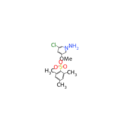 COc1cc(Cl)c[n+](N)c1.Cc1cc(C)c(S(=O)(=O)[O-])c(C)c1